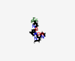 Cc1ccc(-c2ccccn2)c(C(O)N2CC3CC34CC(Oc3ccc(C(F)(F)F)cn3)C24)n1